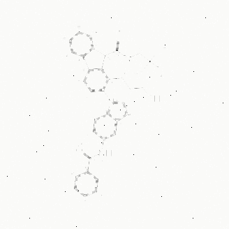 CCCCc1c(-n2ccc3cc(NC(=O)c4ccccc4)ccc32)ccc2c1C(C(=O)NCC(F)(F)F)c1ccccc1-2